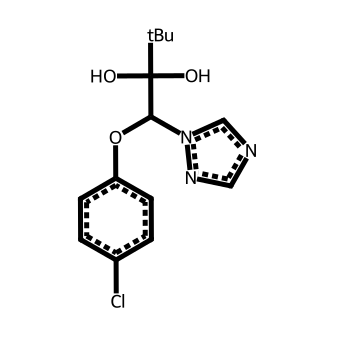 CC(C)(C)C(O)(O)C(Oc1ccc(Cl)cc1)n1cncn1